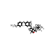 CSc1ccc(Sc2ccc(NC(=O)C(O[Si](C)(C)C(C)(C)C)(C(F)(F)F)C(F)(F)F)c(F)c2)cc1